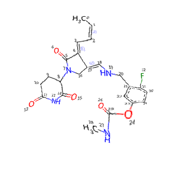 C\C=C/C=C1/C(=O)N(C2CCC(=O)NC2=O)C/C1=C\NCc1cc(OC(=O)NC)ccc1F